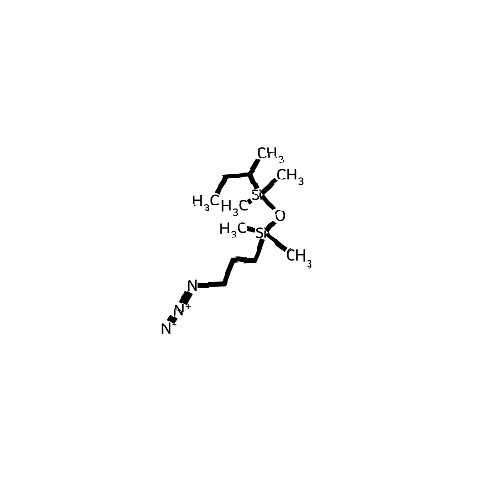 CCC(C)[Si](C)(C)O[Si](C)(C)CCCN=[N+]=[N-]